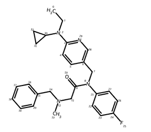 CCN(c1ccc(CN(C(=O)CN(C)Cc2ccccc2)c2ccc(F)cc2)cn1)C1CC1